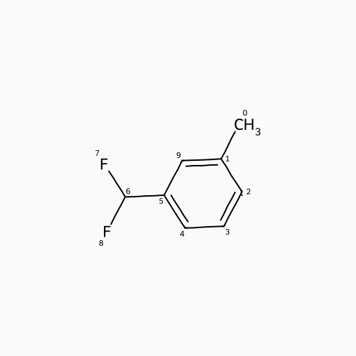 Cc1[c]ccc(C(F)F)c1